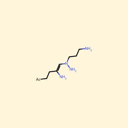 CC(=O)CC/C(N)=C/N(N)CCCN